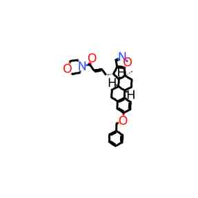 C[C@]12CC[C@@H]3c4ccc(OCc5ccccc5)cc4CC[C@H]3[C@@H]1[C@H](C/C=C/C(=O)N1CCOCC1)c1cnoc12